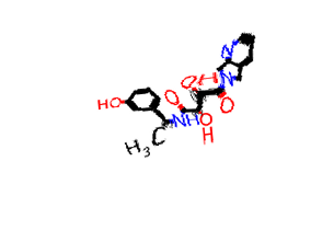 C[C@@H](NC(=O)[C@H](O)[C@@H](O)C(=O)N1Cc2cccnc2C1)c1cccc(O)c1